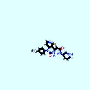 CC(C)(C)c1ccc(N2C(=O)Nc3c(C(=O)NC4CCCNC4)sc4nccc2c34)cc1